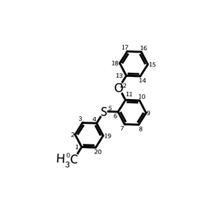 Cc1ccc(Sc2ccccc2Oc2ccccc2)cc1